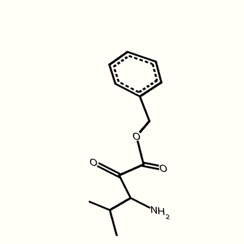 CC(C)C(N)C(=O)C(=O)OCc1ccccc1